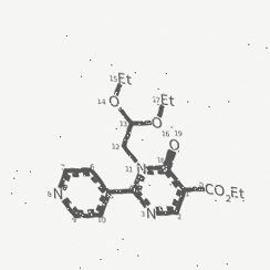 CCOC(=O)c1cnc(-c2ccncc2)n(CC(OCC)OCC)c1=O